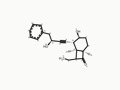 CCC1C(=O)[C@@H]2CC[C@H](O)[C@@H](C#C[C@@H](O)Cc3ccccc3)[C@H]12